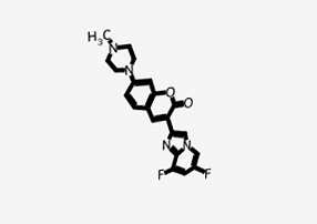 CN1CCN(c2ccc3cc(-c4cn5cc(F)cc(F)c5n4)c(=O)oc3c2)CC1